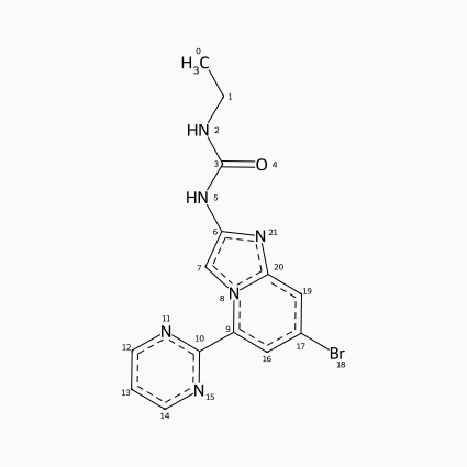 CCNC(=O)Nc1cn2c(-c3ncccn3)cc(Br)cc2n1